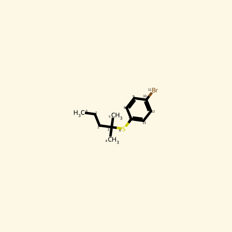 CCCC(C)(C)Sc1ccc(Br)cc1